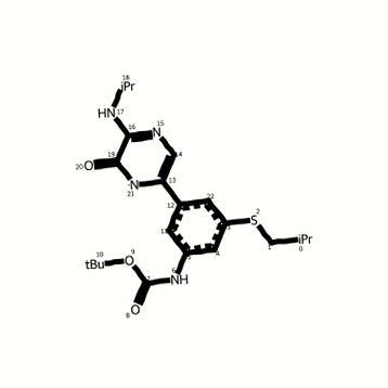 CC(C)CSc1cc(NC(=O)OC(C)(C)C)cc(C2=CN=C(NC(C)C)C(=O)[N]2)c1